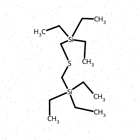 CC[Si](CC)(CC)CSC[Si](CC)(CC)CC